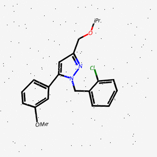 COc1cccc(-c2cc(COC(C)C)nn2Cc2ccccc2Cl)c1